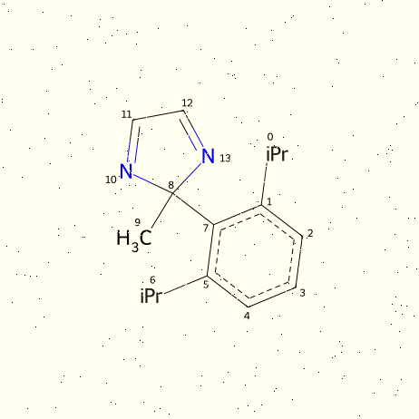 CC(C)c1cccc(C(C)C)c1C1(C)N=CC=N1